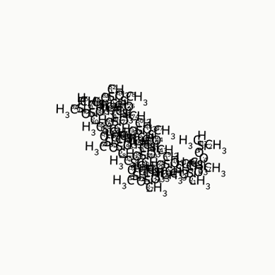 C[SiH](C)OO[Si](C)(C)O[Si](C)(C)O[Si](C)(C)O[Si](C)(C)O[Si](C)(C)O[Si](C)(C)O[Si](C)(C)O[Si](C)(C)O[Si](C)(C)O[Si](C)(C)O[Si](C)(C)O[Si](C)(C)O[Si](C)(C)O[Si](C)(C)O[Si](C)(C)O[Si](C)(C)O[Si](C)(C)O[Si](C)(C)O[Si](C)(C)O[Si](C)(C)O[Si](C)(C)O[Si](C)(C)O[SiH](C)C